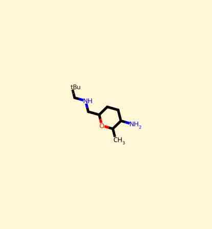 CC1OC(CNCC(C)(C)C)CCC1N